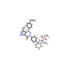 COc1ccc(C2CN(c3ccc(C4(CN(C)S(C)(=O)=O)CCCCC4)cc3)C(=O)c3[nH]nc(C(F)(F)F)c32)cc1